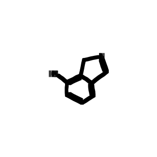 Sc1cccc2c1CN=C2